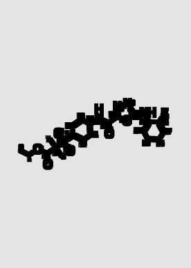 CCOC(=O)C(C)(C)S(=O)(=O)c1ccc(NC(=O)c2nnc(Nc3ccccc3F)o2)cc1